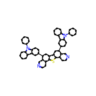 c1ccc(-n2c3ccccc3c3cc(-c4cc5c6cc(-c7ccc8c(c7)c7ccccc7n8-c7ccccc7)c7cnccc7c6sc5c5ccncc45)ccc32)cc1